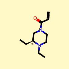 C=CC(=O)N1CCN(CC)[C@@H](CC)C1